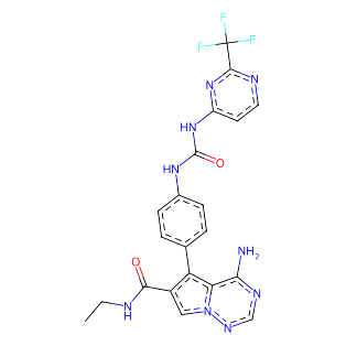 CCNC(=O)c1cn2ncnc(N)c2c1-c1ccc(NC(=O)Nc2ccnc(C(F)(F)F)n2)cc1